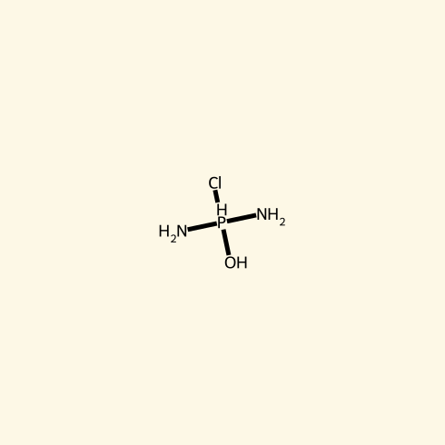 N[PH](N)(O)Cl